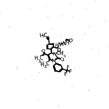 C#Cc1ccc(C2C(C(C)=O)=C(C)N(c3cccc(C(F)(F)F)c3)C(=O)N2C)c(C(=O)NNC=O)c1